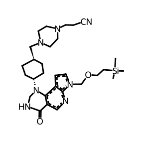 C[Si](C)(C)CCOCn1ccc2c3c(cnc21)C(=O)NCN3[C@H]1CC[C@H](CN2CCN(CCC#N)CC2)CC1